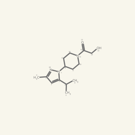 Cc1cc(C(C)C)n(C2CCN(C(=O)CO)CC2)n1